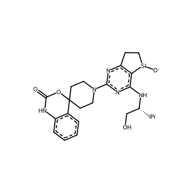 CC(C)[C@H](CO)Nc1nc(N2CCC3(CC2)OC(=O)Nc2ccccc23)nc2c1[S+]([O-])CC2